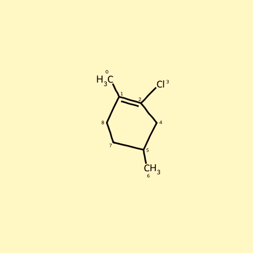 CC1=C(Cl)CC(C)CC1